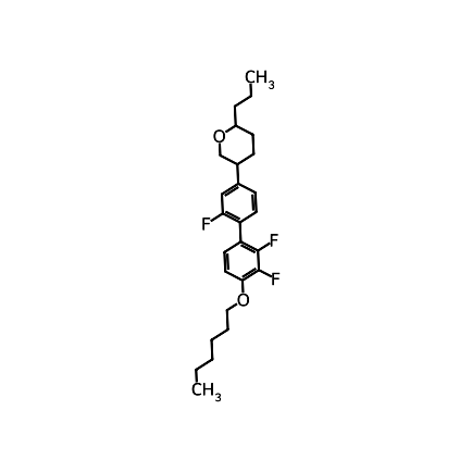 CCCCCCOc1ccc(-c2ccc(C3CCC(CCC)OC3)cc2F)c(F)c1F